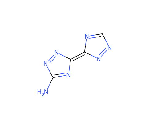 NC1=NC(=C2N=CN=N2)N=N1